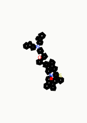 CC1(C)c2ccccc2-c2ccc(N(c3ccc(-c4cccc5c4oc4cccc(-c6ccc7c(c6)-c6ccc(N(c8ccc9c(c8)C8(c%10ccccc%10-c%10ccccc%108)c8ccccc8-9)c8ccc9sc%10ccccc%10c9c8)cc6C76c7ccccc7-c7ccccc76)c45)cc3)c3ccc4c(c3)C(C)(C)c3ccccc3-4)cc21